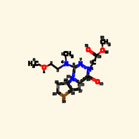 COCCN(C)c1nn(CC(=O)OC)c(=O)c2cc3sccc3n12